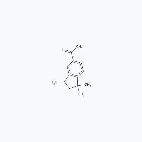 CC(=O)c1ccc2c(c1)C(C)CC2(C)C